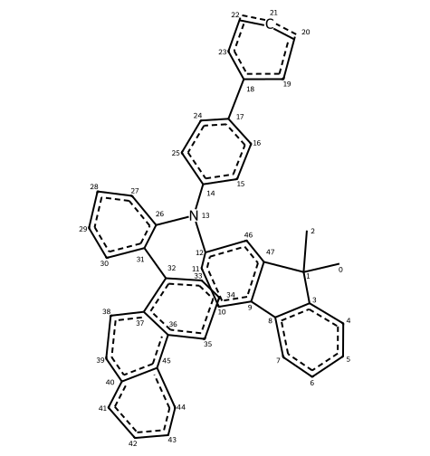 CC1(C)c2ccccc2-c2ccc(N(c3ccc(-c4ccccc4)cc3)c3ccccc3-c3cccc4c3ccc3ccccc34)cc21